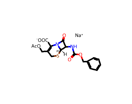 CC(=O)OCC1=C(C(=O)[O-])N2C(=O)C(NC(=O)OCc3ccccc3)[C@H]2SC1.[Na+]